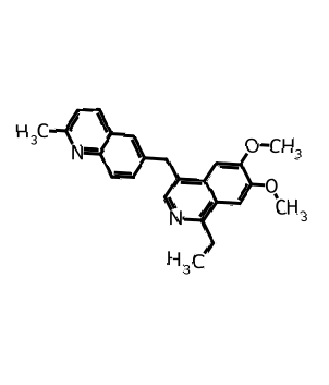 CCc1ncc(Cc2ccc3nc(C)ccc3c2)c2cc(OC)c(OC)cc12